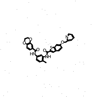 Cc1ccc(NC(=O)c2ccc3c(c2)OCCO3)cc1NC(=O)c1cc2ccc(OCc3ccccn3)cc2s1